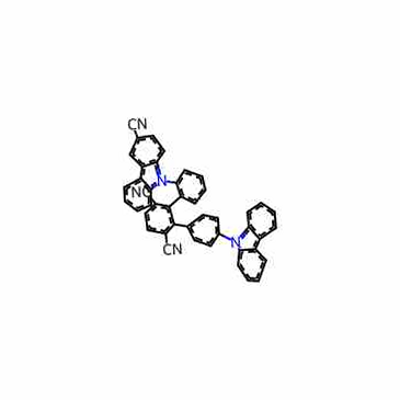 N#Cc1ccc2c(c1)c1ccccc1n2-c1ccccc1-c1c(C#N)ccc(C#N)c1-c1ccc(-n2c3ccccc3c3ccccc32)cc1